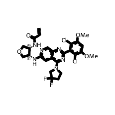 C=CC(=O)N[C@H]1COC[C@H]1Nc1cc2c(N3CCC(F)(F)C3)nc(-c3c(Cl)c(OC)cc(OC)c3Cl)nc2cn1